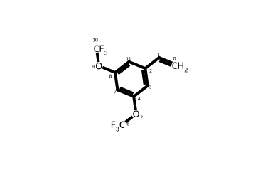 C=Cc1cc(OC(F)(F)F)cc(OC(F)(F)F)c1